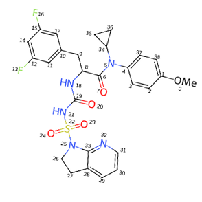 COc1ccc(N(C(=O)C(Cc2cc(F)cc(F)c2)NC(=O)NS(=O)(=O)N2CCc3cccnc32)C2CC2)cc1